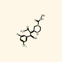 CC(C)(C)NC(=O)N1CCN/C(=C(\C(=N)c2cc(F)cc(C(F)(F)F)c2)C(N)=O)C1